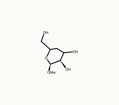 CO[C@H]1OC(CO)CC(O)[C@H]1O